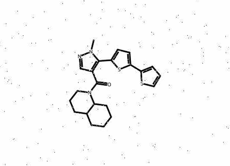 Cn1ncc(C(=O)N2CCCC3CCCCC32)c1-c1ccc(-c2cccs2)s1